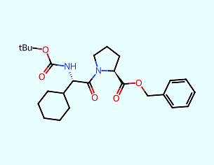 CC(C)(C)OC(=O)N[C@H](C(=O)N1CCC[C@H]1C(=O)OCc1ccccc1)C1CCCCC1